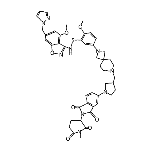 COc1ccc(N2CC3(CCN(CC4CCN(c5ccc6c(c5)C(=O)N(C5CCC(=O)NC5=O)C6=O)C4)CC3)C2)cc1SNc1noc2cc(Cn3cccn3)cc(OC)c12